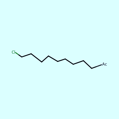 CC(=O)CCCCCCCCCCl